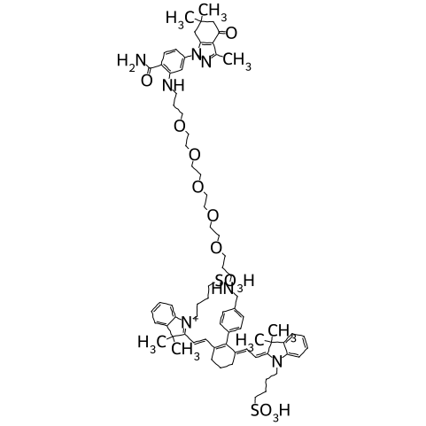 Cc1nn(-c2ccc(C(N)=O)c(NCCCOCCOCCOCCOCCOCCCNCc3ccc(C4=C(/C=C/C5=[N+](CCCCS(=O)(=O)O)c6ccccc6C5(C)C)CCC/C4=C\C=C4\N(CCCCS(=O)(=O)O)c5ccccc5C4(C)C)cc3)c2)c2c1C(=O)CC(C)(C)C2